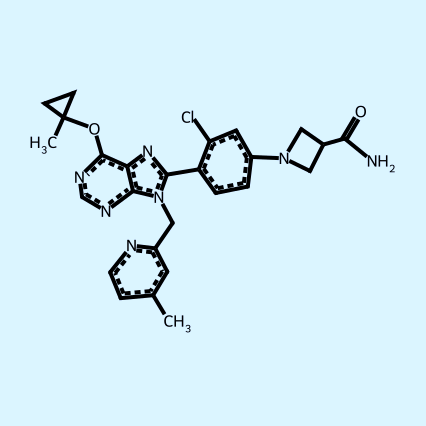 Cc1ccnc(Cn2c(-c3ccc(N4CC(C(N)=O)C4)cc3Cl)nc3c(OC4(C)CC4)ncnc32)c1